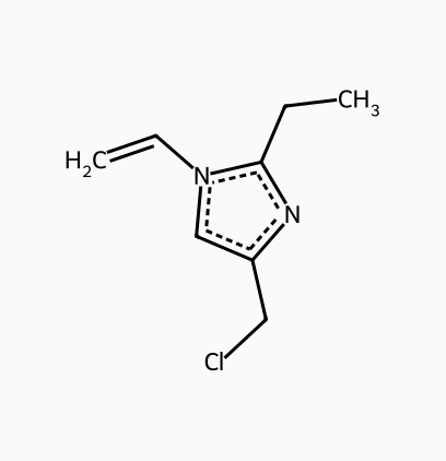 C=Cn1cc(CCl)nc1CC